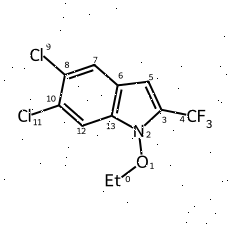 CCOn1c(C(F)(F)F)cc2cc(Cl)c(Cl)cc21